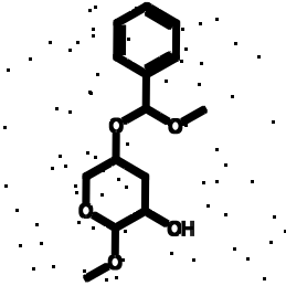 COC(OC1COC(OC)C(O)C1)c1ccccc1